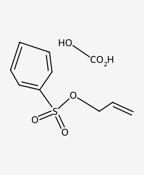 C=CCOS(=O)(=O)c1ccccc1.O=C(O)O